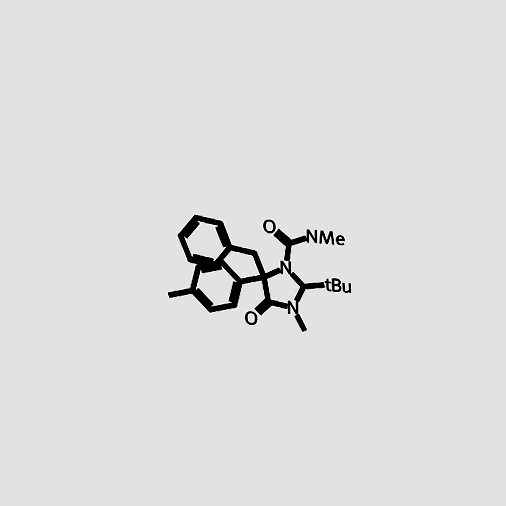 CNC(=O)N1C(C(C)(C)C)N(C)C(=O)C1(Cc1ccccc1)c1ccc(C)cc1